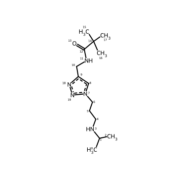 CC(C)NCCCn1cc(CNC(=O)C(C)(C)C)nn1